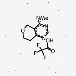 CNc1ncnc2c1COCC2.O=C(O)C(F)(F)F